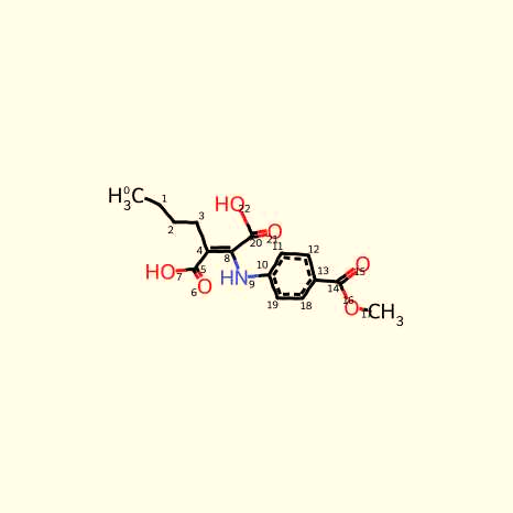 CCCCC(C(=O)O)=C(Nc1ccc(C(=O)OC)cc1)C(=O)O